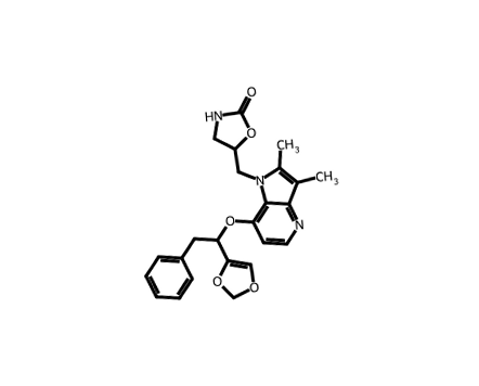 Cc1c(C)n(CC2CNC(=O)O2)c2c(OC(Cc3ccccc3)C3=COCO3)ccnc12